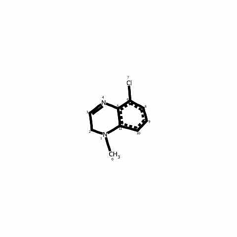 CN1CC=Nc2c(Cl)cccc21